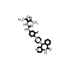 Cc1noc(C)c1NC(=O)Nc1ccc(N2CCN(C3c4cnccc4NC(=O)c4ccccc43)CC2)c(F)c1